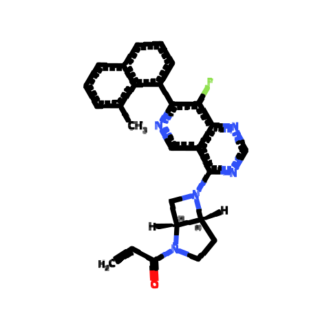 C=CC(=O)N1CC[C@@H]2[C@H]1CN2c1ncnc2c(F)c(-c3cccc4cccc(C)c34)ncc12